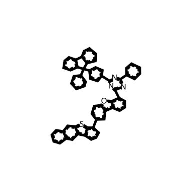 c1ccc(-c2nc(-c3ccc(C4(c5ccccc5)c5ccccc5-c5ccccc54)cc3)nc(-c3cccc4c3oc3ccc(-c5cccc6c5sc5cc7ccccc7cc56)cc34)n2)cc1